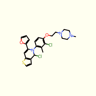 Cc1c(N2C(c3ccco3)=Cc3sccc3C2Cl)ccc(OCCN2CCN(C)CC2)c1Cl